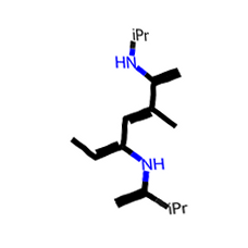 C=C(NC(C)C)/C(C)=C/C(=C\C)NC(=C)C(C)C